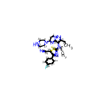 CCc1nn2ccc(N3CCNCC3)nc2c1N(C)c1nc(-c2ccc(F)cc2)c(C#N)s1